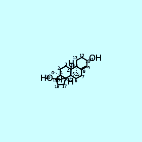 C[C@]12CC[C@H]3[C@@H](CCC4=C[C@@H](O)CC[C@@]43C)[C@@H]1CC[C@H]2O